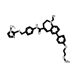 CCCCOCCOc1ccc(-c2ccc3c(c2)C=C(C(=O)Nc2ccc(CSc4nccn4C)cc2)CCN3CC(C)C)cc1